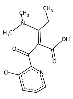 CCC(=C(C(=O)O)C(=O)c1ncccc1Cl)N(C)C